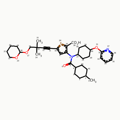 CC1CCC(C(=O)N(c2cc(C#CC(C)(C)COC3CCCCO3)sc2C(=O)O)C2CCC(Oc3ccccn3)CC2)CC1